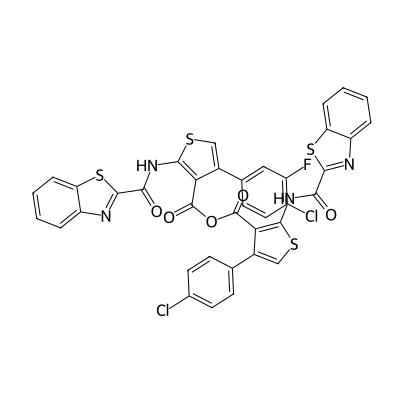 O=C(Nc1scc(-c2ccc(Cl)cc2)c1C(=O)OC(=O)c1c(-c2ccc(Cl)c(F)c2)csc1NC(=O)c1nc2ccccc2s1)c1nc2ccccc2s1